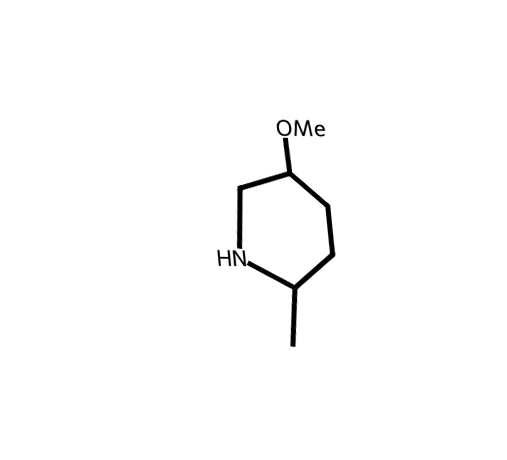 COC1CCC(C)NC1